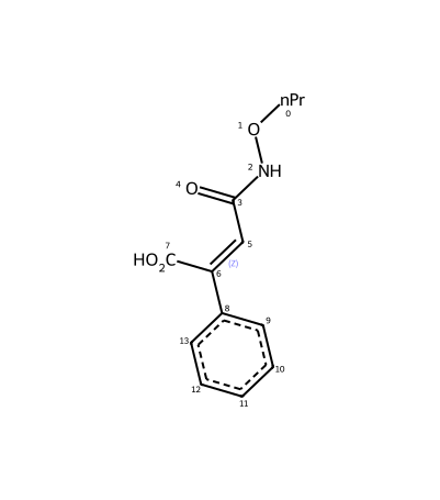 CCCONC(=O)/C=C(\C(=O)O)c1ccccc1